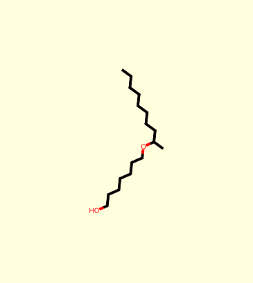 CCCCCCCCC(C)OCCCCCCCO